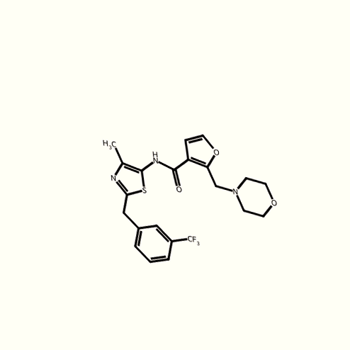 Cc1nc(Cc2cccc(C(F)(F)F)c2)sc1NC(=O)c1ccoc1CN1CCOCC1